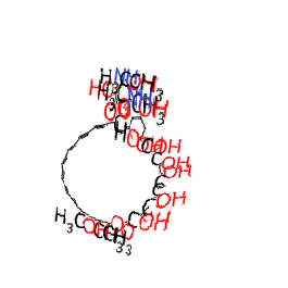 C[C@@H]1[C@H](O)[C@@H](C)/C=C/C=C/C=C/C=C/C=C/C=C/C=C/[C@H](O[C@@H]2O[C@H](C)[C@@H](O)[C@H](N)[C@@H]2O)C[C@@H]2O[C@](O)(C[C@@H](O)C[C@@H](O)[C@H](O)CC[C@@H](O)C[C@@H](O)CC(=O)O[C@H]1C)C[C@H](O)[C@H]2C(=O)NC(C)(C)C